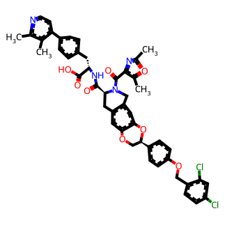 Cc1nc(C(=O)N2Cc3cc4c(cc3C[C@H]2C(=O)N[C@@H](Cc2ccc(-c3ccnc(C)c3C)cc2)C(=O)O)OC[C@H](c2ccc(OCc3ccc(Cl)cc3Cl)cc2)O4)c(C)o1